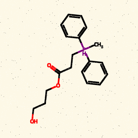 C[PH](CCC(=O)OCCCO)(c1ccccc1)c1ccccc1